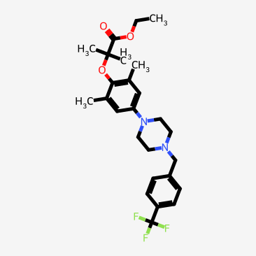 CCOC(=O)C(C)(C)Oc1c(C)cc(N2CCN(Cc3ccc(C(F)(F)F)cc3)CC2)cc1C